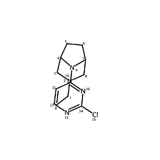 CCN1CC2CCC(C1)N2c1ccnc(Cl)n1